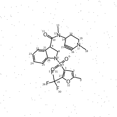 Cc1cc(S(=O)(=O)N2CC(C(=O)N(C)C3C#CN(C)CC3)c3ccccc32)c(C(F)(F)F)o1